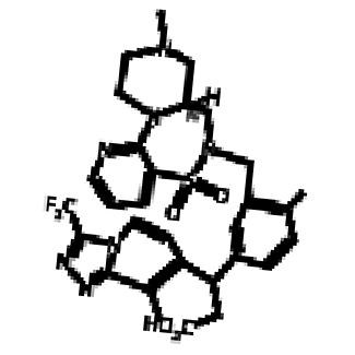 Cc1ccc(C(CC(=O)O)c2ccn3c(C(F)(F)F)nnc3c2C)cc1CN1C[C@@H]2CN(C)CCN2c2ncccc2S1(=O)=O